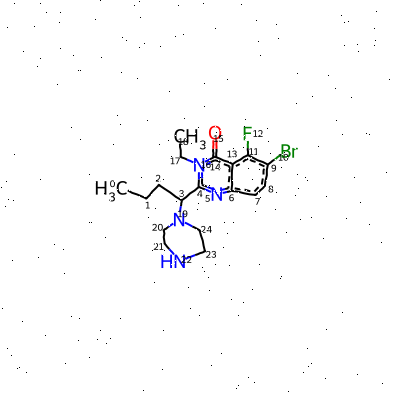 CCCC(c1nc2ccc(Br)c(F)c2c(=O)n1CC)N1CCNCC1